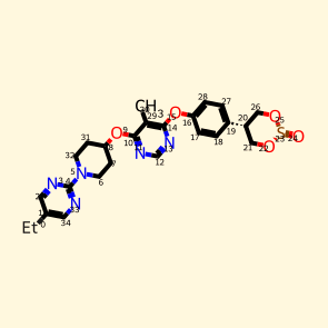 CCc1cnc(N2CCC(Oc3ncnc(Oc4ccc([C@H]5CO[S@](=O)OC5)cc4)c3C)CC2)nc1